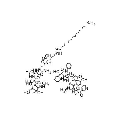 CCCCCCCCCCCCCCCCCC(=O)NCCCC[C@H](NC(=O)CC[C@@H](NC(=O)[C@H](C)NC(=O)[C@@H](C)O[C@H]1C(O)[C@@H](CO)O[C@@H](O)[C@@H]1NC(C)=O)C(N)=O)C(=O)O.CN(C(=O)c1c(O)c2ccccc2n(C)c1=O)c1ccccc1.Cc1cc(=O)c2c(O)cc(O)c([C@H]3CCN(C)C[C@H]3O)c2o1.NC(=O)c1cccnc1